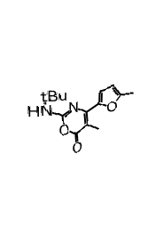 Cc1ccc(-c2nc(NC(C)(C)C)oc(=O)c2C)o1